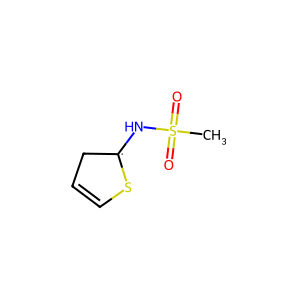 CS(=O)(=O)N[C]1CC=CS1